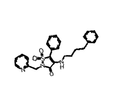 O=C1C(NCCCCc2ccccc2)=C(c2ccccc2)S(=O)(=O)N1Cc1ccccn1